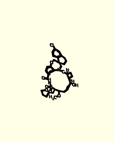 COC1C/C=C/[C@H](O)[C@@H]2CC[C@H]2CN2C[C@@]3(CCCc4cc(Cl)ccc43)COc3ccc(cc32)C(=O)NS(=O)(=O)[C@@H]1C[C@H]1CCCO1